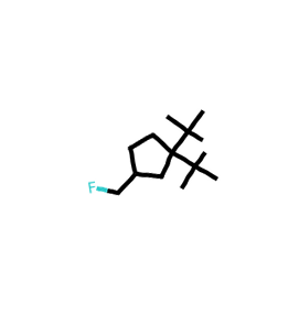 CC(C)(C)C1(C(C)(C)C)CCC(CF)C1